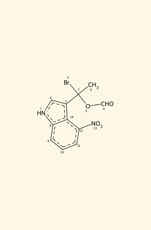 CC(Br)(OC=O)c1c[nH]c2cccc([N+](=O)[O-])c12